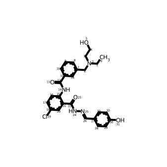 CCN(CCO)Cc1cccc(C(=O)Nc2ccc(Cl)cc2C(=O)NN=Cc2ccc(O)cc2)c1